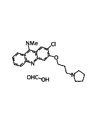 CNc1c2ccccc2nc2cc(OCCCN3CCCC3)c(Cl)cc12.O=CO